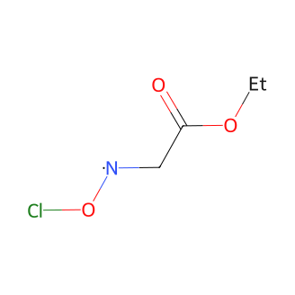 CCOC(=O)C[N]OCl